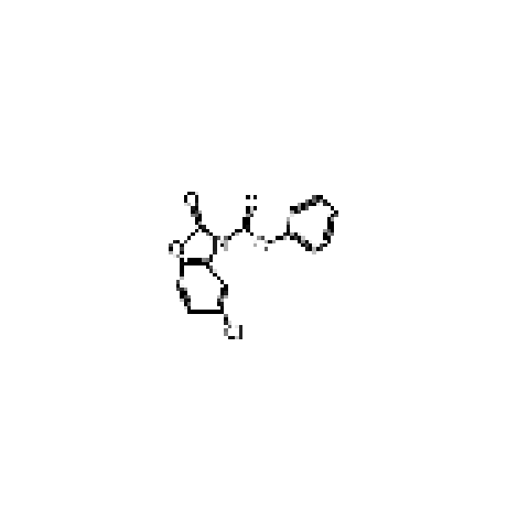 O=C(Oc1ccccc1)n1c(=O)oc2ccc(Cl)cc21